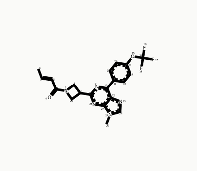 C/C=C/C(=O)N1CC(c2nc(-c3ccc(OC(F)(F)F)cc3)c3ncn(C)c3n2)C1